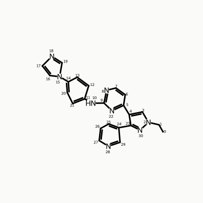 CCn1cc(-c2ccnc(Nc3ccc(-n4ccnc4)cc3)n2)c(-c2cccnc2)n1